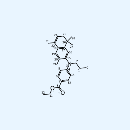 CCCN(c1ccc(C(=O)OCC)cc1)c1cc2c(cc1C)C(C)=CCC2(C)C